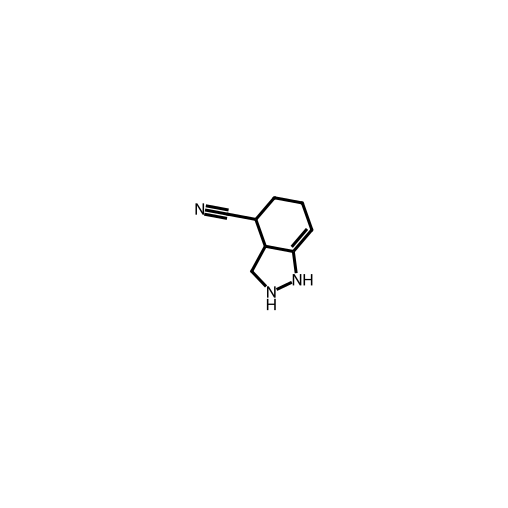 N#CC1CCC=C2NNCC21